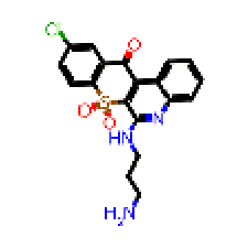 NCCCNc1nc2ccccc2c2c1S(=O)(=O)c1ccc(Cl)cc1C2=O